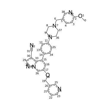 COc1ccc(CN2CCN(c3ccc(-c4cc(OCc5cccnc5)cn5ncc(C#N)c45)cc3)CC2)cn1